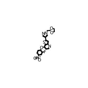 O=[N+]([O-])c1ccc(Oc2ccnc3cc(-c4cnn(CC5OCCO5)c4)sc23)c(F)c1